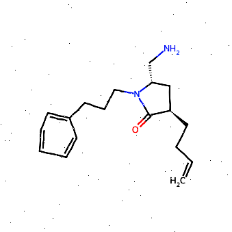 C=CCC[C@@H]1C[C@@H](CN)N(CCCc2ccccc2)C1=O